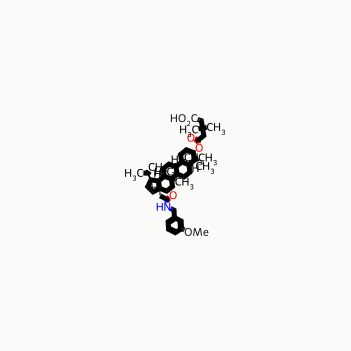 C=C(C)[C@@H]1CC[C@]2(CC(=O)NCc3cccc(OC)c3)CC[C@]3(C)[C@H](CC[C@@H]4[C@@]5(C)CC[C@H](OC(=O)CC(C)(C)CC(=O)O)C(C)(C)[C@@H]5CC[C@]43C)[C@@H]12